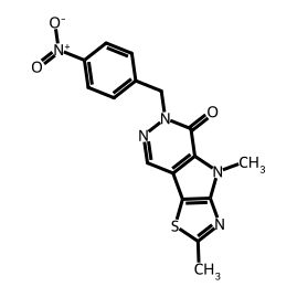 Cc1nc2c(s1)c1cnn(Cc3ccc([N+](=O)[O-])cc3)c(=O)c1n2C